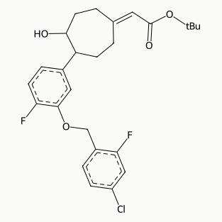 CC(C)(C)OC(=O)/C=C1/CCC(O)C(c2ccc(F)c(OCc3ccc(Cl)cc3F)c2)CC1